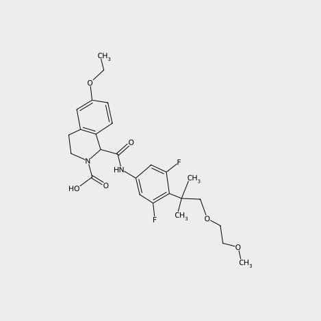 CCOc1ccc2c(c1)CCN(C(=O)O)C2C(=O)Nc1cc(F)c(C(C)(C)COCCOC)c(F)c1